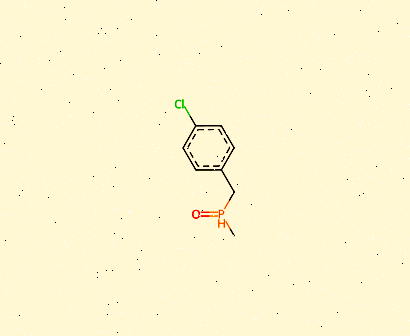 C[PH](=O)Cc1ccc(Cl)cc1